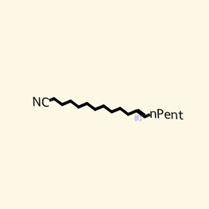 CCCCC/C=C/CCCCCCCCCCC#N